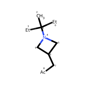 CCC(C)(CC)N1CC(CC(C)=O)C1